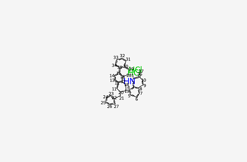 C1=CNc2ccccc2C=C1.C1=c2ccc3c(c2CCC1Cc1ccccc1)CC=c1ccccc1=3.Cl.Cl